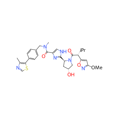 COc1cc([C@H](C(=O)N2C[C@H](O)C[C@H]2c2nc(C(=O)N(C)Cc3ccc(-c4scnc4C)cc3)c[nH]2)C(C)C)on1